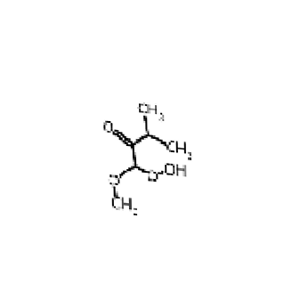 COC(OO)C(=O)C(C)C